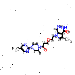 CC1CN(c2ncc(C(F)(F)F)cn2)CCN1C(=O)CCOCCn1cc(C(F)(F)F)c2c(=O)[nH]ncc21